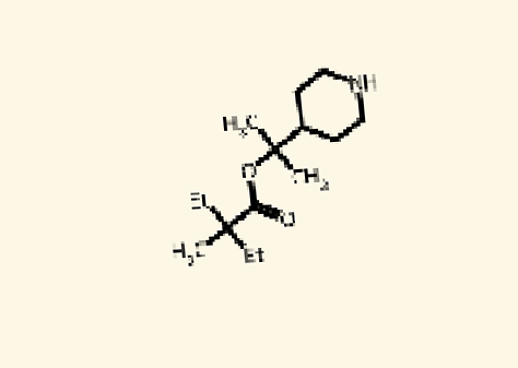 CCC(C)(CC)C(=O)OC(C)(C)C1CCNCC1